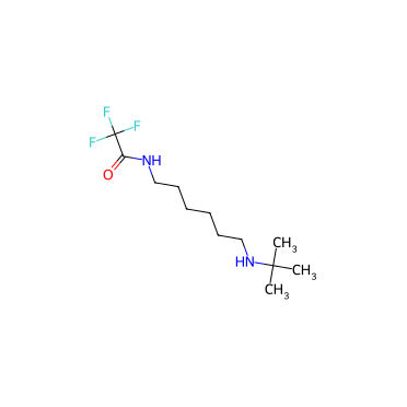 CC(C)(C)NCCCCCCNC(=O)C(F)(F)F